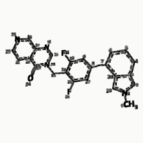 Cn1cc2cccc(-c3cc(F)c(Cn4cnc5cnccc5c4=O)c(F)c3)c2c1